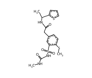 CNC(=O)NS(=O)(=O)c1cc(CC(=O)NC(C)c2cccs2)ccc1SC